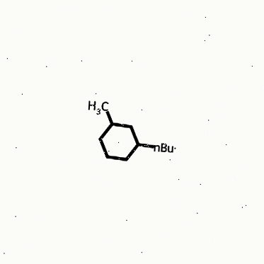 CCC[CH]C1CCCC(C)C1